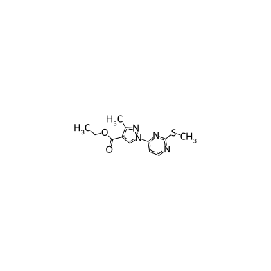 CCOC(=O)c1cn(-c2ccnc(SC)n2)nc1C